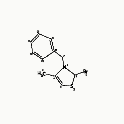 CC1=CSC(Br)N1Cc1ccccc1